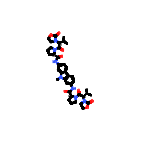 CC(C)[C@@H](C(=O)N1CCC[C@H]1C(=O)Nc1ccc2c3ccc(NC(=O)[C@@H]4CCCN4C(=O)[C@H](C(C)C)N4CCOC4=O)cc3n(C)c2c1)N1CCOC1=O